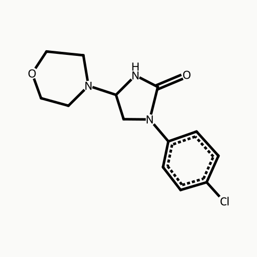 O=C1NC(N2CCOCC2)CN1c1ccc(Cl)cc1